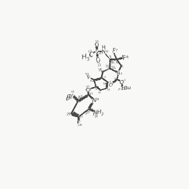 CC(C)(C)OC(=O)N1CC(F)(F)[C@H](NS(C)(=O)=O)[C@@H]1Cc1cccc(Oc2nc(N)c(F)cc2Br)c1F